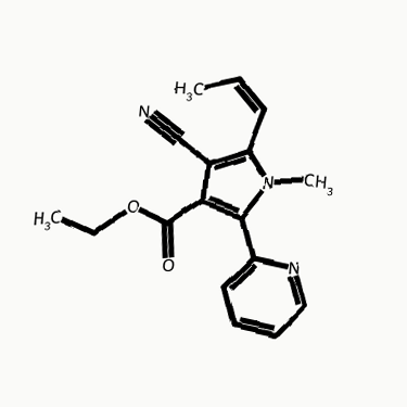 C/C=C\c1c(C#N)c(C(=O)OCC)c(-c2ccccn2)n1C